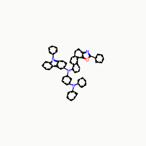 c1ccc(-c2nc3ccc4ccc5c(N(c6cccc(N(c7ccccc7)c7ccccc7)c6)c6ccc7c(c6)c6ccccc6n7-c6ccccc6)cccc5c4c3o2)cc1